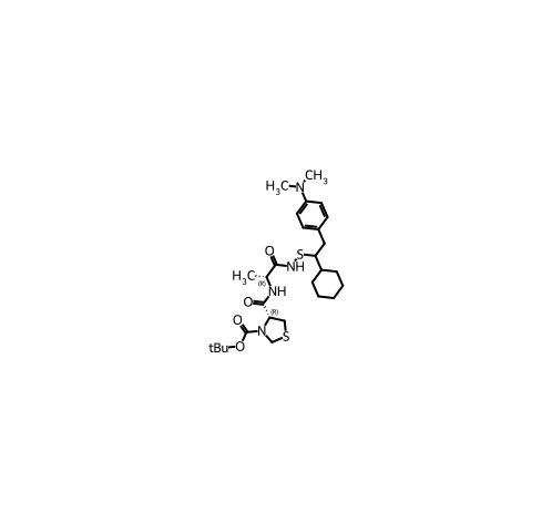 C[C@@H](NC(=O)[C@@H]1CSCN1C(=O)OC(C)(C)C)C(=O)NSC(Cc1ccc(N(C)C)cc1)C1CCCCC1